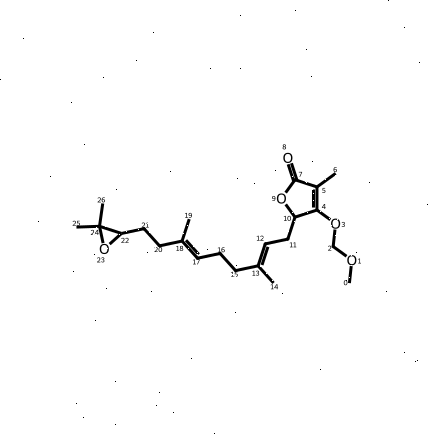 COCOC1=C(C)C(=O)OC1C/C=C(\C)CC/C=C(\C)CCC1OC1(C)C